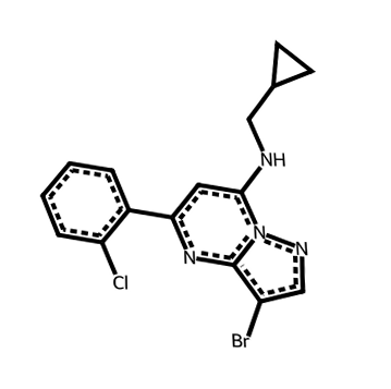 Clc1ccccc1-c1cc(NCC2CC2)n2ncc(Br)c2n1